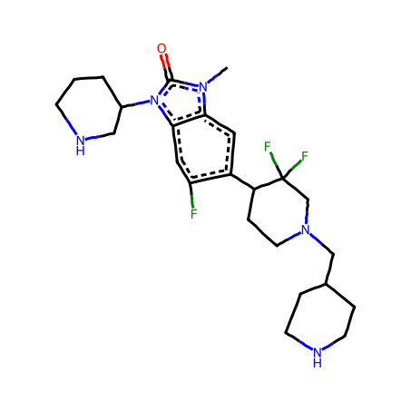 Cn1c(=O)n(C2CCCNC2)c2cc(F)c(C3CCN(CC4CCNCC4)CC3(F)F)cc21